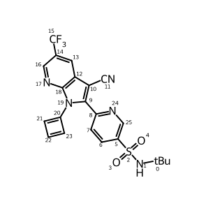 CC(C)(C)NS(=O)(=O)c1ccc(-c2c(C#N)c3cc(C(F)(F)F)cnc3n2C2=CC=C2)nc1